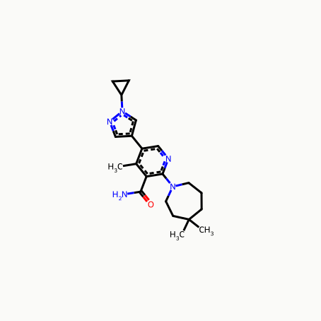 Cc1c(-c2cnn(C3CC3)c2)cnc(N2CCCC(C)(C)CC2)c1C(N)=O